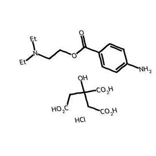 CCN(CC)CCOC(=O)c1ccc(N)cc1.Cl.O=C(O)CC(O)(CC(=O)O)C(=O)O